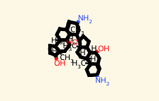 C[C@]12CCC(N)C=C1CC(O)[C@@H]1[C@H]2CC[C@@]2(C)[C@H]1CCC2(O)C1CC(N)C=C2CC[C@@H]3[C@@H](CC[C@]4(C)C(O)CC[C@@H]34)[C@]21C